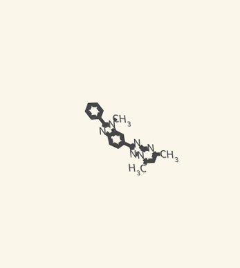 Cc1cc(C)n2nc(-c3ccc4nc(-c5ccccc5)n(C)c4c3)nc2n1